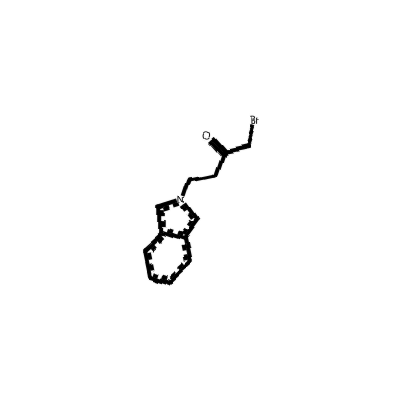 O=C(CBr)CCn1cc2ccccc2c1